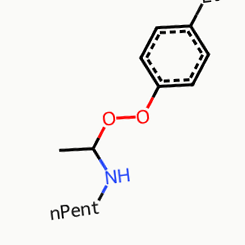 CCCCCNC(C)OOc1ccc(CC)cc1